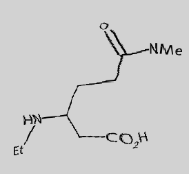 CCNC(CCC(=O)NC)CC(=O)O